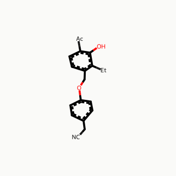 CCc1c(COc2ccc(CC#N)cc2)ccc(C(C)=O)c1O